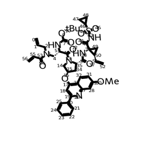 C=CCN(C[C@H](NC(=O)OC(C)(C)C)C(=O)N1C[C@H](Oc2cc(-c3ccccc3)nc3cc(OC)ccc23)C[C@H]1C(=O)N[C@]1(C(=O)NS(=O)(=O)C2CC2)C[C@H]1C=C)C(=O)C=C